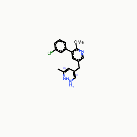 COc1ncc(CC(/C=C(/C)N)=C/N)cc1-c1cccc(Cl)c1